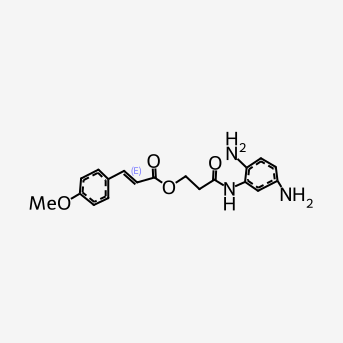 COc1ccc(/C=C/C(=O)OCCC(=O)Nc2cc(N)ccc2N)cc1